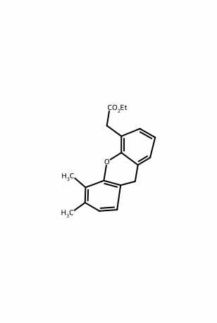 CCOC(=O)Cc1cccc2c1Oc1c(ccc(C)c1C)C2